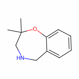 CC1(C)CNCc2ccccc2O1